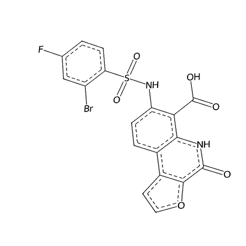 O=C(O)c1c(NS(=O)(=O)c2ccc(F)cc2Br)ccc2c1[nH]c(=O)c1occc12